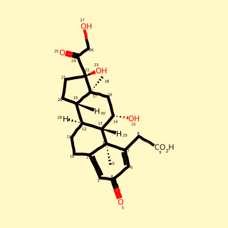 C[C@@]12C(=CC(=O)C=C1CC(=O)O)CC[C@@H]1[C@@H]2[C@@H](O)C[C@@]2(C)[C@H]1CC[C@]2(O)C(=O)CO